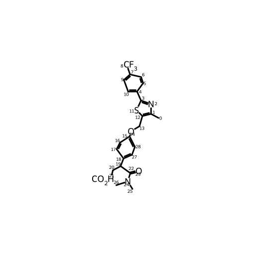 Cc1nc(-c2ccc(C(F)(F)F)cc2)sc1COc1ccc(C(CC(=O)O)C(=O)N(C)C)cc1